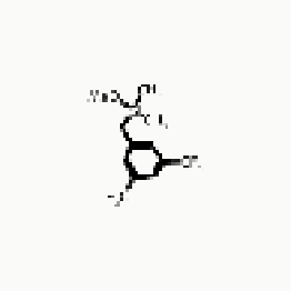 CO[Si](C)(C)Cc1cc(C(F)(F)F)cc(C(F)(F)F)c1